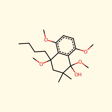 CCCCC1(OC)CC(C)(C)C(O)(OC)c2c(OC)ccc(OC)c21